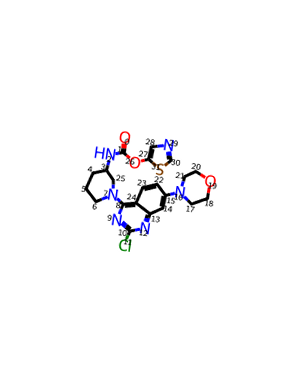 O=C(NC1CCCN(c2nc(Cl)nc3cc(N4CCOCC4)ccc23)C1)Oc1cncs1